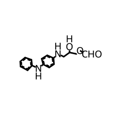 O=COCC(O)CNc1ccc(Nc2ccccc2)cc1